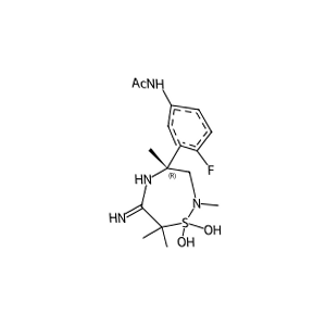 CC(=O)Nc1ccc(F)c([C@]2(C)CN(C)S(O)(O)C(C)(C)C(=N)N2)c1